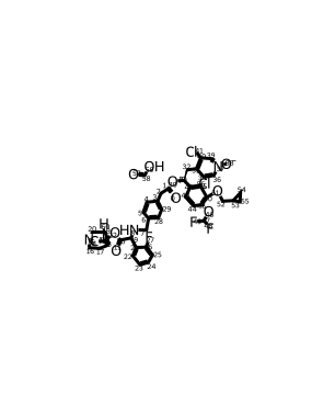 O=C(Cc1ccc(CNC(C(=O)O[C@H]2CN3CCC2CC3)c2ccccc2F)cc1)O[C@@H](Cc1c(Cl)c[n+]([O-])cc1Cl)c1ccc(OC(F)F)c(OCC2CC2)c1.O=CO